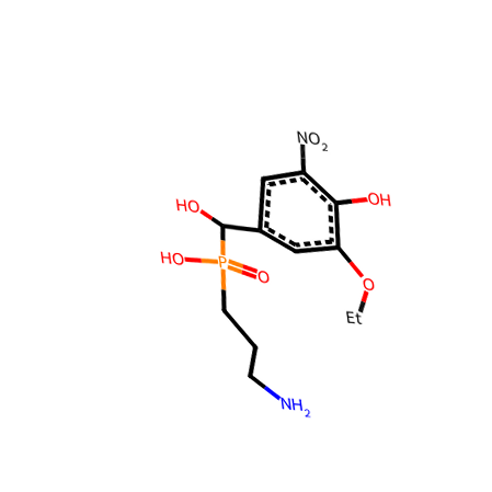 CCOc1cc(C(O)P(=O)(O)CCCN)cc([N+](=O)[O-])c1O